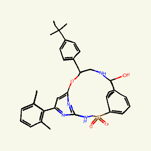 Cc1cccc(C)c1-c1cc2nc(n1)NS(=O)(=O)c1cccc(c1)C(O)NCC(c1ccc(C(C)(C)C)cc1)O2